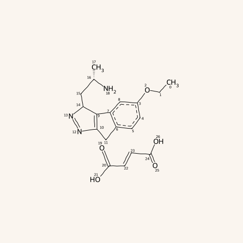 CCOc1ccc2c(c1)C1=C(C2)N=NC1C[C@H](C)N.O=C(O)C=CC(=O)O